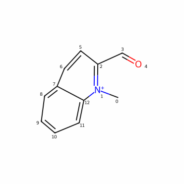 C[n+]1c(C=O)ccc2ccccc21